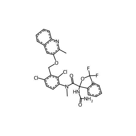 Cc1nc2ccccc2cc1OCc1c(Cl)ccc(N(C)C(=O)C(NC(N)=O)(OC(F)(F)F)c2ccccc2)c1Cl